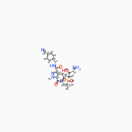 Cn1nc(C(=O)NCc2ccc(C#N)cc2)c2c1C(=O)N(CC1(S(=O)(=O)C(C)(C)[C@@H](O)CN)CC1)CC2